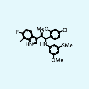 COc1cc(NC(C(=O)c2c[nH]c3c(C)c(F)ccc23)c2ccc(Cl)cc2OC)cc(SC)c1